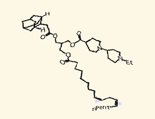 CCCCC/C=C\C/C=C\CCCCCCCC(=O)OCC(COC(=O)CC1[C@H]2CC3CC(C2)C[C@@H]1C3)COC(=O)C1CCN(C2CCN(CC)CC2)CC1